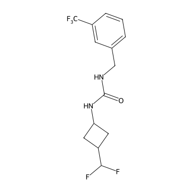 O=C(NCc1cccc(C(F)(F)F)c1)NC1CC(C(F)F)C1